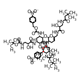 CN(C(=O)OC(C)(C)C)[C@@H]1[C@@H](O)[C@@H](O[C@@H]2[C@@H](O)[C@H](O[C@H]3OC(CNC(=O)C(O)CNC(=O)CC(C)(C)C)=CC[C@H]3NC(=O)OCc3ccc([N+](=O)[O-])cc3)[C@@H](NC(=O)OCc3ccc([N+](=O)[O-])cc3)C[C@H]2NC(=O)[C@@H](O)CNC(=O)OC(C)(C)C)OC[C@]1(C)O